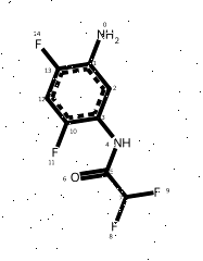 Nc1cc(NC(=O)C(F)F)c(F)cc1F